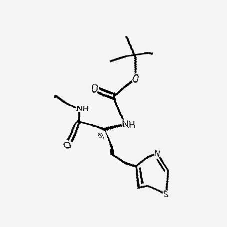 CNC(=O)[C@H](Cc1cscn1)NC(=O)OC(C)(C)C